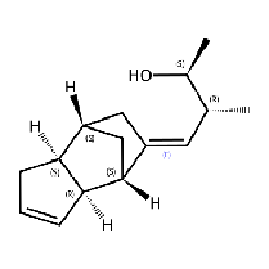 C[C@H](O)[C@H](C)/C=C1\C[C@@H]2C[C@H]1[C@H]1C=CC[C@@H]21